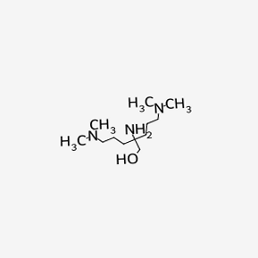 CN(C)CCCC(N)(CO)CCCN(C)C